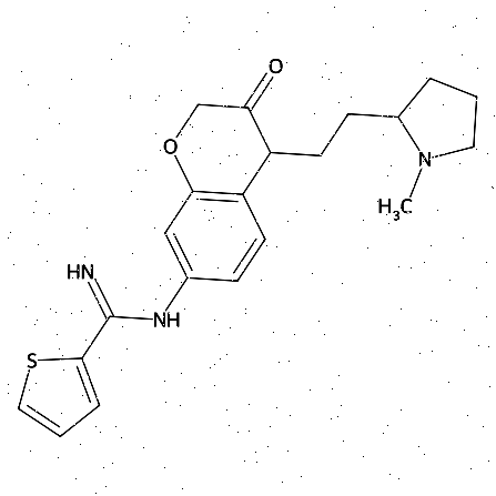 CN1CCCC1CCC1C(=O)COc2cc(NC(=N)c3cccs3)ccc21